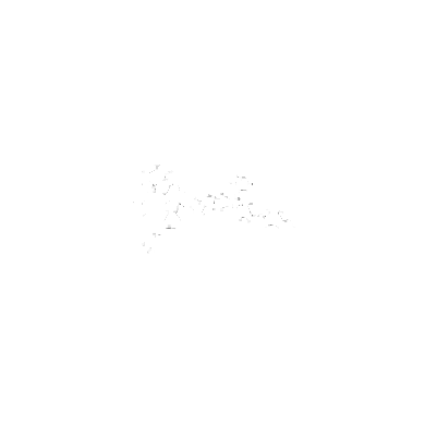 CCCC1(CCC)C2=C(C=CC(N(c3ccc(/C=C/C(C)O)cc3)c3ccc4c(c3)sc3cc5c(cc34)c3ccc(-c4ccc(C)cc4)cc3n5-c3cncnc3)C2)c2ccccc21